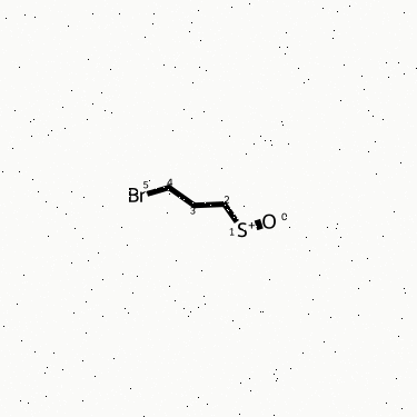 O=[S+]CCCBr